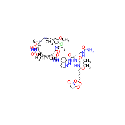 COc1cc2cc(c1Cl)N(C)C(=O)C[C@H](OC(=O)Nc1ccc(NC(=O)[C@H](CCCNC(N)=O)NC(=O)[C@@H](NC(=O)CCCCC(=O)ON3C(=O)CCC3=O)C(C)C)c3ncccc13)[C@]1(C)C[C@H]1[C@H](C)[C@@H]1C[C@@](O)(NC(=O)O1)[C@H](OC)/C=C/C=C(\C)C2